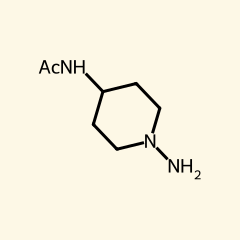 CC(=O)NC1CCN(N)CC1